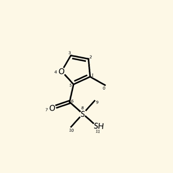 Cc1ccoc1C(=O)S(C)(C)S